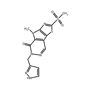 Cn1c2nc(S(C)(=O)=O)sc2c2cnn(Cc3cc[nH]n3)c(=O)c21